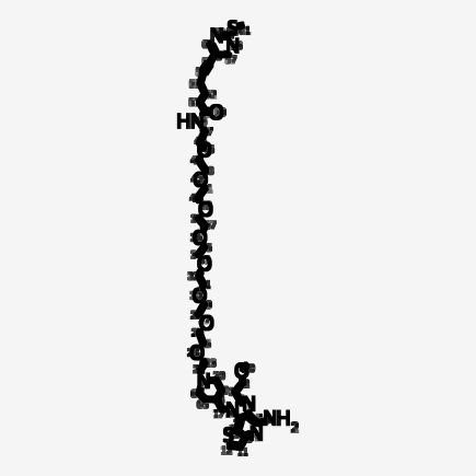 COCCc1nc2c(N)nc3ccsc3c2n1CC1CCN(CCOCCOCCOCCOCCOCCOCCOCCOCCNC(=O)CCCC#Cc2cnc(SC)nc2)CC1